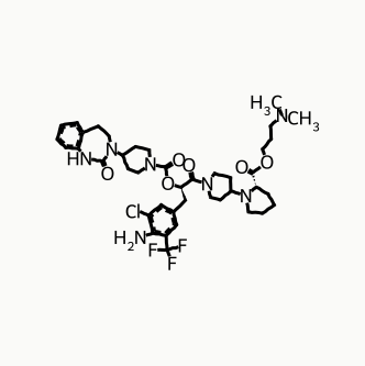 CN(C)CCCOC(=O)[C@@H]1CCCCN1C1CCN(C(=O)[C@@H](Cc2cc(Cl)c(N)c(C(F)(F)F)c2)OC(=O)N2CCC(N3CCc4ccccc4NC3=O)CC2)CC1